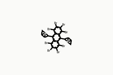 Brc1c(Br)c(Br)c2c(C3C4C5CS534)c3c(Br)c(Br)c(Br)c(Br)c3c(C3C4C5CS534)c2c1Br